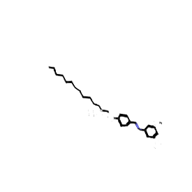 CCCCCCCCCCCCC(O)COc1ccc(/C=C/c2cc(OC)cc(OC)c2)cc1